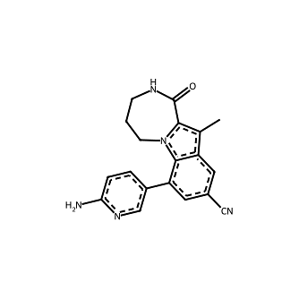 Cc1c2n(c3c(-c4ccc(N)nc4)cc(C#N)cc13)CCCNC2=O